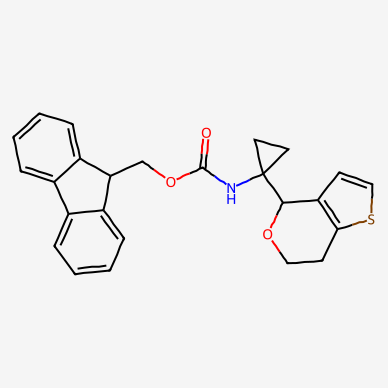 O=C(NC1(C2OCCc3sccc32)CC1)OCC1c2ccccc2-c2ccccc21